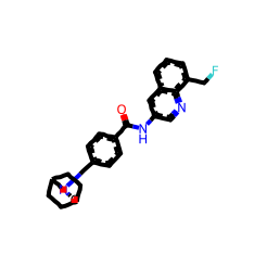 O=C(Nc1cnc2c(CF)cccc2c1)c1ccc(N2CC3CCC(CC3)C2)cc1